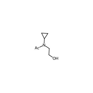 CC(=O)N(CCO)C1CC1